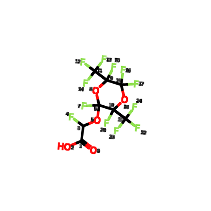 O=C(O)C(F)OC1(F)OC(F)(C(F)(F)F)C(F)(F)OC1(F)C(F)(F)F